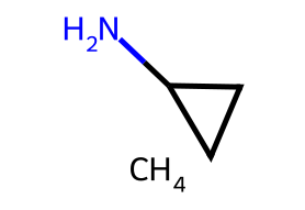 C.NC1CC1